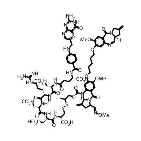 C=C1CC(/C=N/OC)N(C(=O)c2cc(OC)c(OCCCCCOc3cc4c(cc3OC)C(=O)N3CC(=C)C[C@H]3C=N4)cc2NC(=O)OCC(C)SSC[C@@H](NC(=O)[C@H](CC(=O)O)NC(=O)[C@H](CC(=O)O)NC(=O)[C@H](CCCNC(=N)N)NC(=O)[C@H](CC(=O)O)NC(=O)CC[C@H](NC(=O)c2ccc(NCc3cnc4nc(N)[nH]c(=O)c4n3)cc2)C(=O)O)C(=O)O)C1